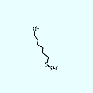 OCCCCCCSS